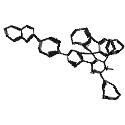 CN1C(c2ccccc2)=NC2=C(C1c1ccccc1)C1(c3cc(-c4ccc(-c5ccc6ccccc6c5)cc4)ccc32)c2ccccc2-c2ccccc21